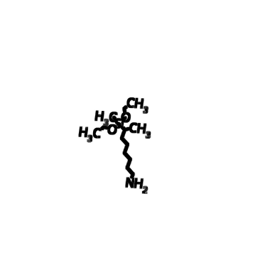 CCO[Si](C)(OCC)C(C)CCCCCCN